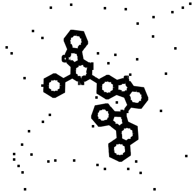 c1ccc(-c2nc(-c3ccc4c(c3)sc3cccc(-n5c6ccccc6c6c7ccccc7ccc65)c34)nc3c2oc2ccccc23)cc1